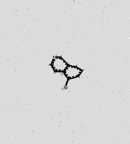 [N]c1cccc2cnccc12